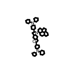 c1ccc(N(c2ccccc2)c2ccc(-c3cc4cc5c(cc(-c6ccc(N(c7ccccc7)c7ccccc7)cc6)n5-c5ccc6ccc7cccc8ccc5c6c78)cc4o3)cc2)cc1